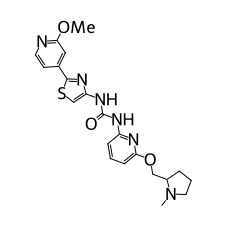 COc1cc(-c2nc(NC(=O)Nc3cccc(OCC4CCCN4C)n3)cs2)ccn1